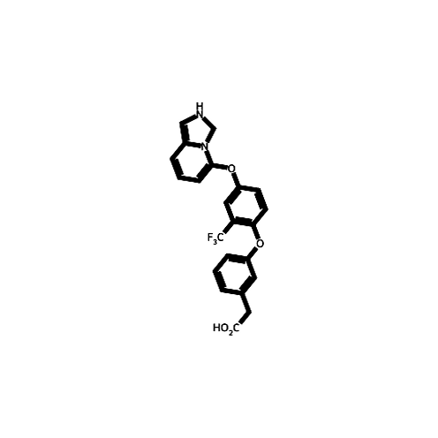 O=C(O)Cc1cccc(Oc2ccc(OC3=CC=CC4=CNCN43)cc2C(F)(F)F)c1